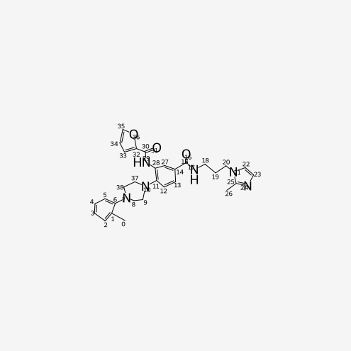 Cc1ccccc1N1CCN(c2ccc(C(=O)NCCCn3ccnc3C)cc2NC(=O)c2ccco2)CC1